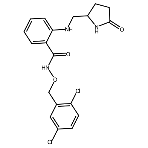 O=C1CCC(CNc2ccccc2C(=O)NOCc2cc(Cl)ccc2Cl)N1